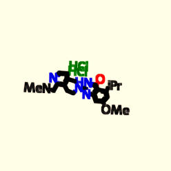 CNCc1nccc2c1CCN(c1nc3cc(OC)cc(C(C)C)c3c(=O)[nH]1)C2.Cl.Cl